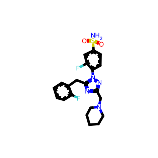 NS(=O)(=O)c1ccc(-n2nc(CN3CCCCC3)nc2Cc2ccccc2F)c(F)c1